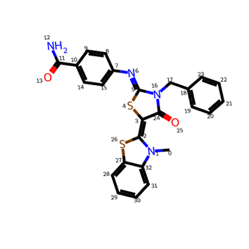 CN1/C(=C2/S/C(=N\c3ccc(C(N)=O)cc3)N(Cc3ccccc3)C2=O)Sc2ccccc21